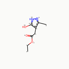 CCOC(=O)Cc1c(C)n[nH]c1O